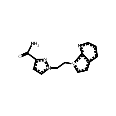 NC(=O)c1[c]cn(CCn2ccc3cccnc32)n1